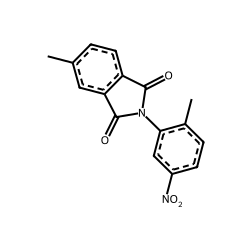 Cc1ccc2c(c1)C(=O)N(c1cc([N+](=O)[O-])ccc1C)C2=O